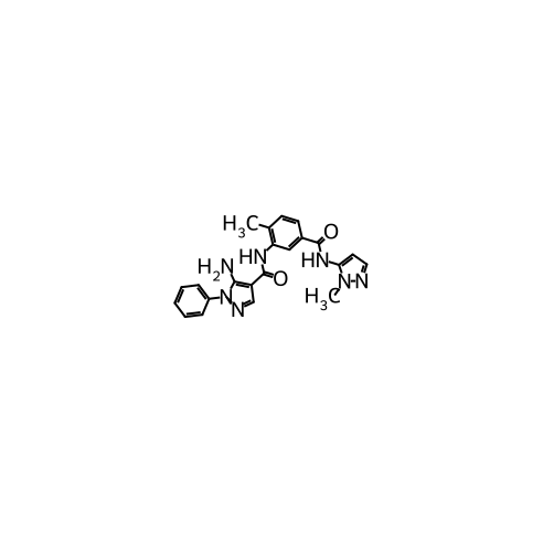 Cc1ccc(C(=O)Nc2ccnn2C)cc1NC(=O)c1cnn(-c2ccccc2)c1N